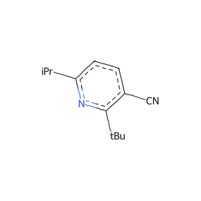 CC(C)c1ccc(C#N)c(C(C)(C)C)n1